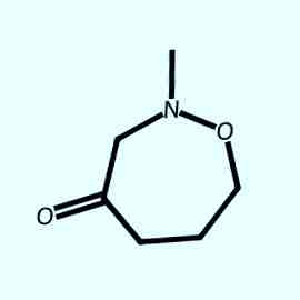 CN1CC(=O)CCCO1